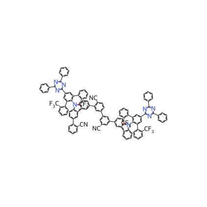 N#Cc1cc(-c2ccc(C#N)c(-c3ccc4c(c3)c3cc(-c5ccccc5C#N)ccc3n4-c3c(-c4ccccc4C(F)(F)F)cc(-c4nc(-c5ccccc5)nc(-c5ccccc5)n4)cc3-c3ccccc3C(F)(F)F)c2)cc(-c2ccc3c(c2)c2ccccc2n3-c2c(-c3ccccc3C(F)(F)F)cc(-c3nc(-c4ccccc4)nc(-c4ccccc4)n3)cc2-c2ccccc2C(F)(F)F)c1